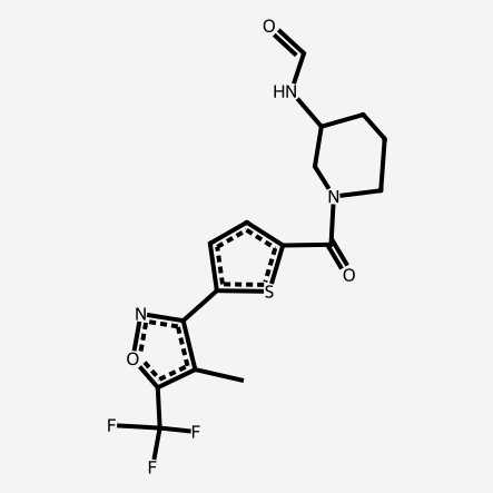 Cc1c(-c2ccc(C(=O)N3CCCC(NC=O)C3)s2)noc1C(F)(F)F